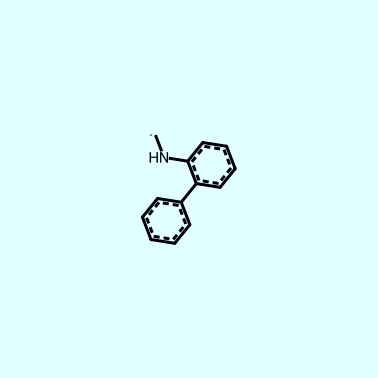 [CH2]Nc1ccccc1-c1ccccc1